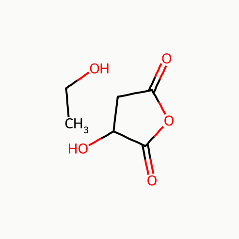 CCO.O=C1CC(O)C(=O)O1